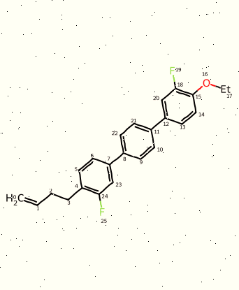 C=CCCc1ccc(-c2ccc(-c3ccc(OCC)c(F)c3)cc2)cc1F